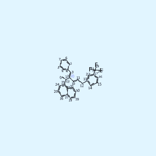 C[C@@H](/C(=C\c1ccccc1)CCCc1cccc(C(F)(F)F)c1)c1cccc2ccccc12